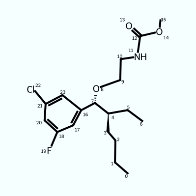 CCCC[C@H](CC)[C@@H](OCCNC(=O)OC)c1cc(F)cc(Cl)c1